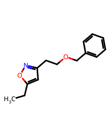 CCc1cc(CCOCc2ccccc2)no1